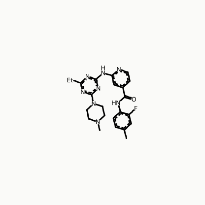 CCc1nc(Nc2cc(C(=O)Nc3ccc(C)cc3F)ccn2)nc(N2CCN(C)CC2)n1